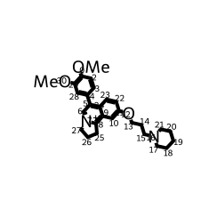 COc1ccc(-c2c[n+]3c(c4cc(OCCCN5CCCCC5)ccc24)CCC3)cc1OC